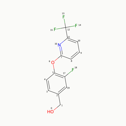 OCc1ccc(Oc2cccc(C(F)(F)F)n2)c(F)c1